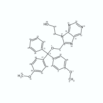 COc1ccc(C(OCc2nc3cncnc3n2CCO)(c2ccccc2)c2ccc(OC)cc2)cc1